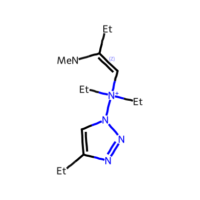 CC/C(=C/[N+](CC)(CC)n1cc(CC)nn1)NC